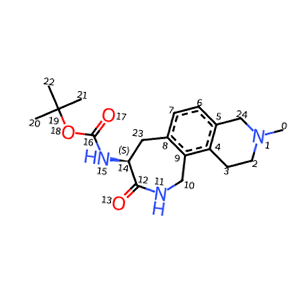 CN1CCc2c(ccc3c2CNC(=O)[C@@H](NC(=O)OC(C)(C)C)C3)C1